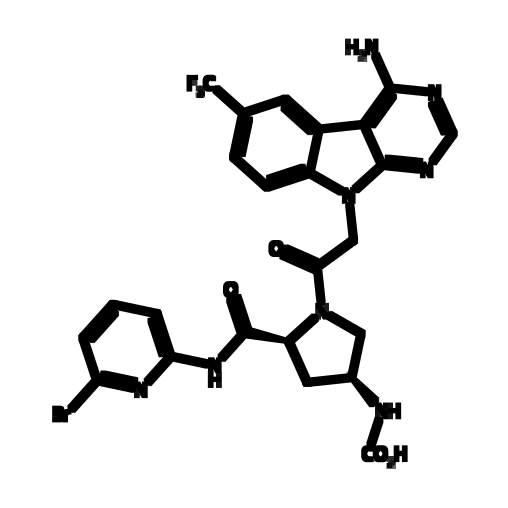 Nc1ncnc2c1c1cc(C(F)(F)F)ccc1n2CC(=O)N1C[C@@H](NC(=O)O)C[C@H]1C(=O)Nc1cccc(Br)n1